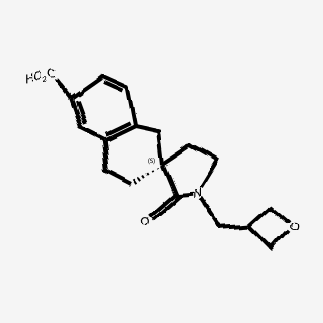 O=C(O)c1ccc2c(c1)CC[C@@]1(CCN(CC3COC3)C1=O)C2